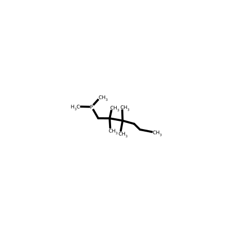 CCCC(C)(C)C(C)(C)CP(C)C